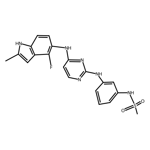 Cc1cc2c(F)c(Nc3ccnc(Nc4cccc(NS(C)(=O)=O)c4)n3)ccc2[nH]1